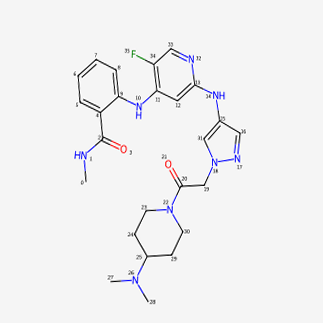 CNC(=O)c1ccccc1Nc1cc(Nc2cnn(CC(=O)N3CCC(N(C)C)CC3)c2)ncc1F